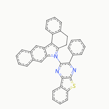 c1ccc(-c2nc3sc4ccccc4c3nc2-n2c3c(c4cc5ccccc5cc42)-c2ccccc2CC3)cc1